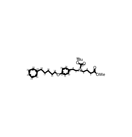 COC(=O)CCCN(CCc1ccc(OCCCCCc2ccccc2)cc1)C(=O)OC(C)(C)C